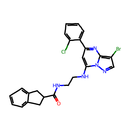 O=C(NCCNc1cc(-c2ccccc2Cl)nc2c(Br)cnn12)C1Cc2ccccc2C1